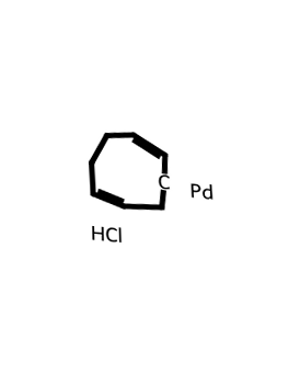 C1=CCCC=CCC1.Cl.[Pd]